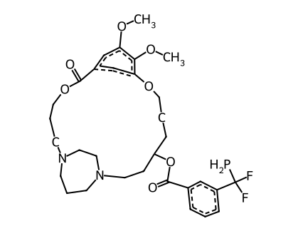 COc1cc2cc(c1OC)OCCCC(OC(=O)c1cccc(C(F)(F)P)c1)CCN1CCCN(CCCOC2=O)CC1